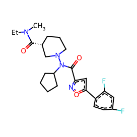 CCN(C)C(=O)[C@@H]1CCCN(N(C(=O)c2cc(-c3ccc(F)cc3F)on2)C2CCCC2)C1